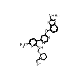 CC(=O)Nc1nc2c(Oc3cc(-c4ccc(C(F)(F)F)nc4NC[C@H]4CCCN4CC(C)C)ncn3)cccc2s1